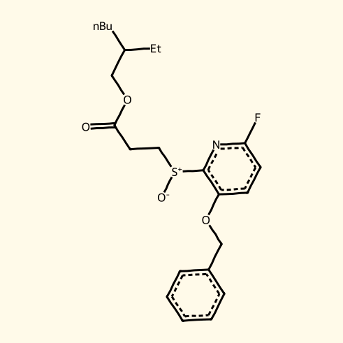 CCCCC(CC)COC(=O)CC[S+]([O-])c1nc(F)ccc1OCc1ccccc1